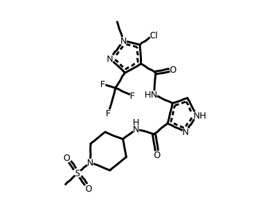 Cn1nc(C(F)(F)F)c(C(=O)Nc2c[nH]nc2C(=O)NC2CCN(S(C)(=O)=O)CC2)c1Cl